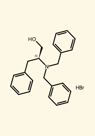 Br.OC[C@H](Cc1ccccc1)N(Cc1ccccc1)Cc1ccccc1